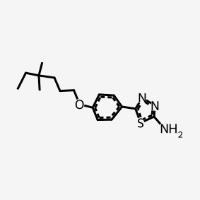 CCC(C)(C)CCCOc1ccc(-c2nnc(N)s2)cc1